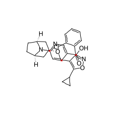 O=C(O)c1ccc(N2[C@@H]3CC[C@H]2C[C@H](OCc2c(-c4ccccc4Cl)noc2C2CC2)C3)nc1